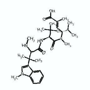 CNC(C(=O)N[C@H](C(=O)N(C)[C@H](/C=C(\C)C(=O)O)C(C)C)C(C)(C)C)C(C)(C)c1cn(C)c2ccccc12